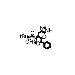 CC(C)(C)OC(=O)N[C@@H](Cc1c[nH]cn1)C(=O)C(O[C]=O)c1ccccc1